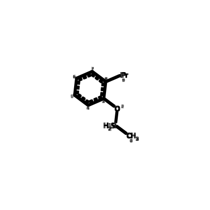 C[SiH2]Oc1ccccc1C(C)C